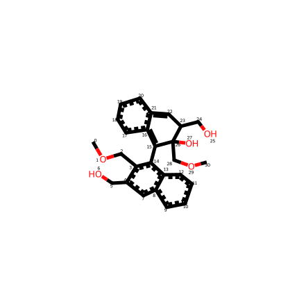 COCc1c(CO)cc2ccccc2c1C1=c2ccccc2=CC(CO)C1(O)COC